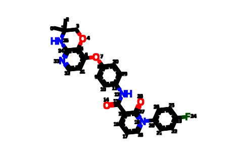 CC1(C)COc2c(Oc3ccc(NC(=O)c4cccn(-c5ccc(F)cc5)c4=O)cc3)ccnc2N1